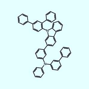 c1ccc(-c2cccc(N(c3ccccc3)c3cccc(-c4ccc5c6ccccc6n(-c6ccc(-c7ccccc7)cc6-c6ccccc6)c5c4)c3)c2)cc1